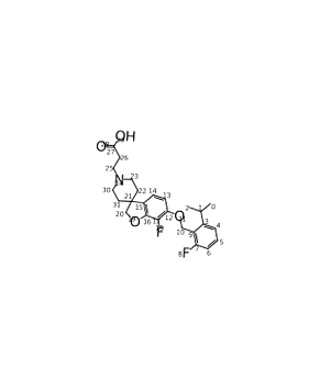 CC(C)c1cccc(F)c1COc1ccc2c(c1F)OCC21CCN(CCC(=O)O)CC1